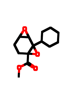 COC(=O)C12CCC3OC3C1(C1CCCCC1)O2